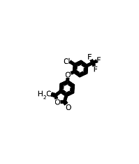 C=C1OC(=O)c2ccc(Oc3ccc(C(F)(F)F)cc3Cl)cc21